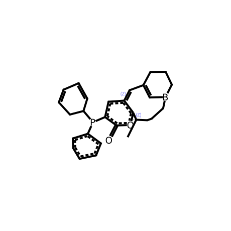 C/C1=c2/oc(=O)c(P(c3ccccc3)C3C=CC=CC3)c/c2=C/C2=CB(CCC2)CCC1